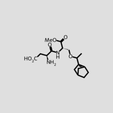 COC(=O)[C@H](COC(C)C1=C2CCC(C2)C1)NC(=O)[C@@H](N)CC(=O)O